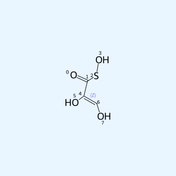 O=C(SO)/C(O)=C/O